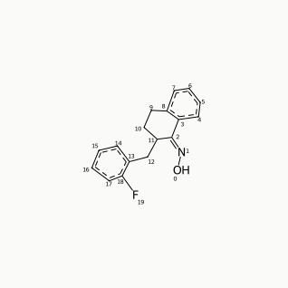 ON=C1c2ccccc2CCC1Cc1ccccc1F